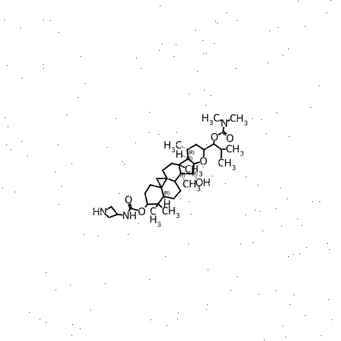 CC(C)C(OC(=O)N(C)C)C1C[C@@H](C)[C@H]2C(O1)[C@H](O)[C@@]1(C)C3CC[C@H]4C(C)(C)C(OC(=O)NC5CNC5)CCC45CC35CCC21C